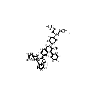 CCCN(CCC)C1CCC(N(Cc2ccc(C(=O)N(Cc3ncc[nH]3)Cc3ncc[nH]3)cc2)C(=O)Cc2ccccc2)CC1